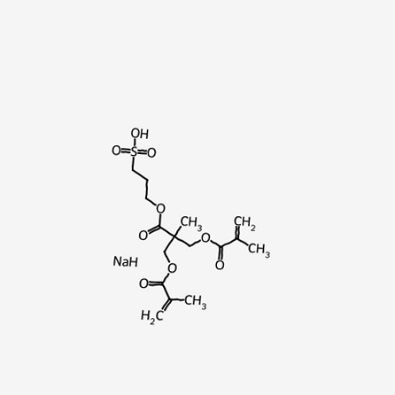 C=C(C)C(=O)OCC(C)(COC(=O)C(=C)C)C(=O)OCCCS(=O)(=O)O.[NaH]